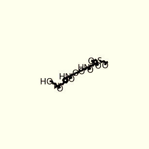 CC(=O)CCSC1CC(=O)N(CCC(=O)NCCOCCOCCC(=O)Nc2ccc(CCC(=O)N(C)CCCO)cc2)C1=O